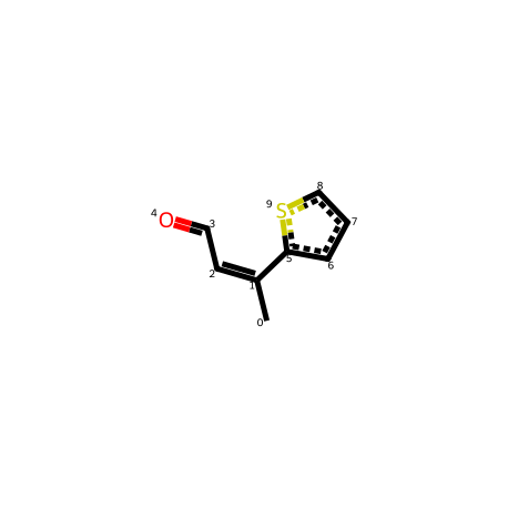 C/C(=C/C=O)c1cccs1